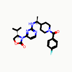 CC(C)[C@H]1COC(=O)N1c1ccnc(N[C@@H](C)C2CCN(C(=O)c3ccc(F)cc3)CC2)n1